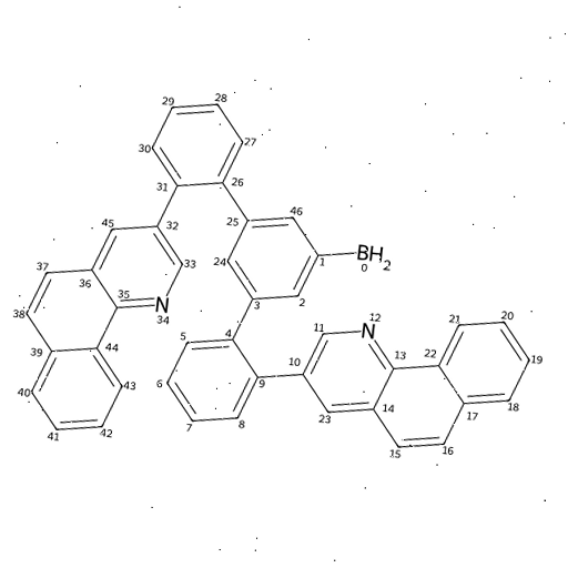 Bc1cc(-c2ccccc2-c2cnc3c(ccc4ccccc43)c2)cc(-c2ccccc2-c2cnc3c(ccc4ccccc43)c2)c1